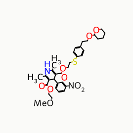 COCCOC(=O)C1=C(C)NC(C)=C(C(=O)OCCSc2ccc(CCOC3CCCCO3)cc2)C1c1cccc([N+](=O)[O-])c1